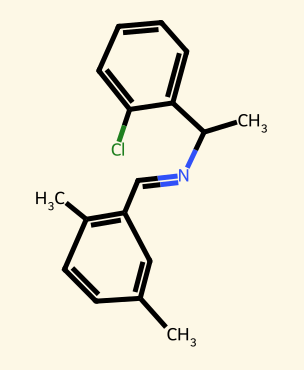 Cc1ccc(C)c(C=NC(C)c2ccccc2Cl)c1